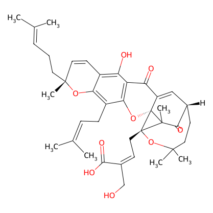 CC(C)=CCC[C@]1(C)C=Cc2c(O)c3c(c(CC=C(C)C)c2O1)O[C@@]12C(=C[C@@H]4CCC(C)(C)O[C@@]1(C/C=C(/CO)C(=O)O)C2(C)C4=O)C3=O